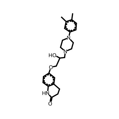 Cc1ccc(N2CCN(CC(O)COc3ccc4c(c3)CCC(=O)N4)CC2)cc1C